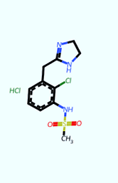 CS(=O)(=O)Nc1cccc(CC2=NCCN2)c1Cl.Cl